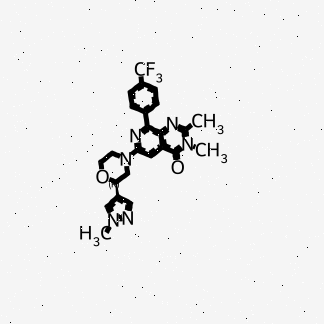 Cc1nc2c(-c3ccc(C(F)(F)F)cc3)nc(N3CCO[C@H](c4cnn(C)c4)C3)cc2c(=O)n1C